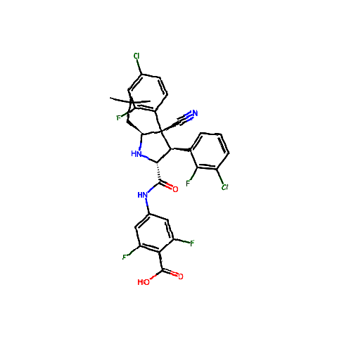 CC(C)(C)C[C@@H]1N[C@@H](C(=O)Nc2cc(F)c(C(=O)O)c(F)c2)[C@H](c2cccc(Cl)c2F)[C@@]1(C#N)c1ccc(Cl)cc1F